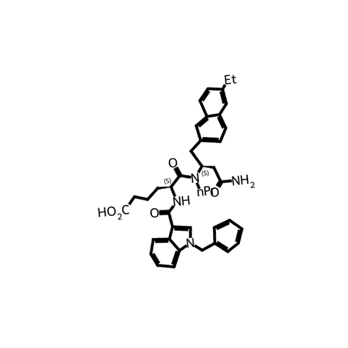 CCCN(C(=O)[C@H](CCCC(=O)O)NC(=O)c1cn(Cc2ccccc2)c2ccccc12)[C@H](CC(N)=O)Cc1ccc2cc(CC)ccc2c1